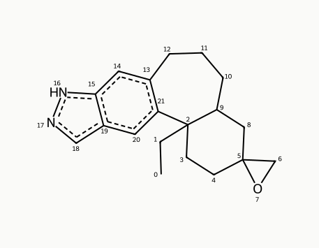 CCC12CCC3(CO3)CC1CCCc1cc3[nH]ncc3cc12